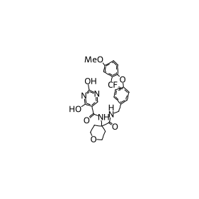 COc1ccc(Oc2ccc(CNC(=O)C3(NC(=O)c4cnc(O)nc4O)CCOCC3)cc2)c(C(F)(F)F)c1